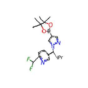 CC(C)C(c1ccc(C(F)F)nc1)n1cc(B2OC(C)(C)C(C)(C)O2)cn1